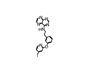 Ic1ccnc(Oc2cccc(CCNc3ncnc4nccnc34)c2)c1